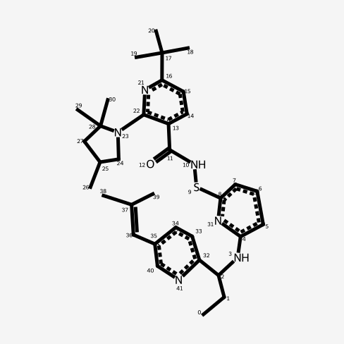 CCC(Nc1cccc(SNC(=O)c2ccc(C(C)(C)C)nc2N2CC(C)CC2(C)C)n1)c1ccc(C=C(C)C)cn1